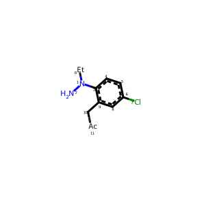 CCN(N)c1ccc(Cl)cc1CC(C)=O